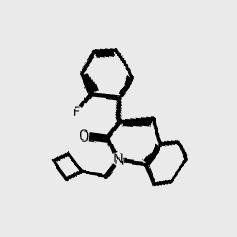 O=c1c(-c2ccccc2F)cc2c(n1CC1CCC1)CCCC2